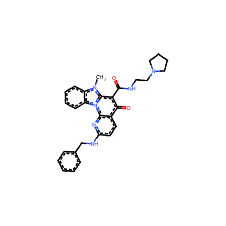 Cn1c2ccccc2n2c3nc(NCc4ccccc4)ccc3c(=O)c(C(=O)NCCN3CCCC3)c12